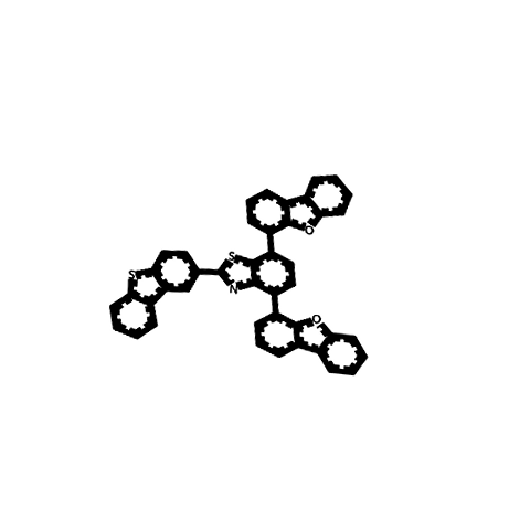 c1ccc2c(c1)oc1c(-c3ccc(-c4cccc5c4oc4ccccc45)c4sc(-c5ccc6sc7ccccc7c6c5)nc34)cccc12